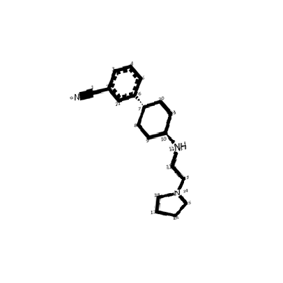 N#Cc1cccc([C@H]2CC[C@H](NCCN3CCCC3)CC2)c1